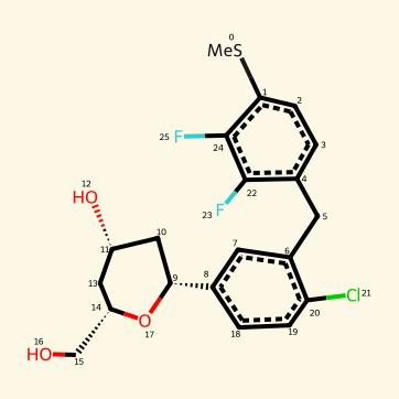 CSc1ccc(Cc2cc([C@H]3C[C@@H](O)C[C@@H](CO)O3)ccc2Cl)c(F)c1F